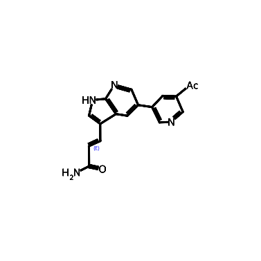 CC(=O)c1cncc(-c2cnc3[nH]cc(/C=C/C(N)=O)c3c2)c1